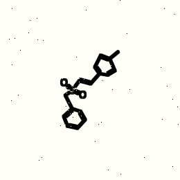 Cc1ccc(C=CS(=O)(=O)Cc2ccccc2)cc1